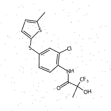 Cc1ccc(Sc2ccc(NC(=O)C(C)(O)C(F)(F)F)c(Cl)c2)s1